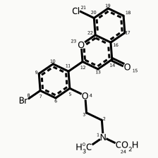 CN(CCOc1cc(Br)ccc1-c1cc(=O)c2cccc(Cl)c2o1)C(=O)O